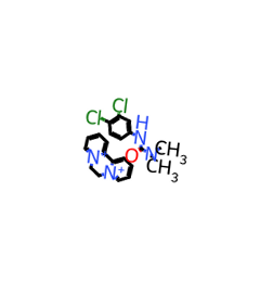 CN(C)C(=O)Nc1ccc(Cl)c(Cl)c1.c1cc[n+]2c(c1)-c1cccc[n+]1CC2